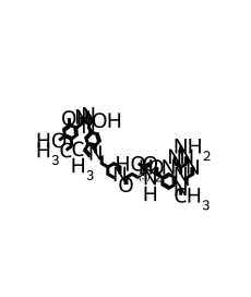 CC(C)c1cc(-c2nnc(O)n2-c2ccc3c(ccn3CCC3CCN(C(=O)CC[C@H](NC(=O)c4ccc(N(C)Cc5cnc6nc(N)nc(N)c6n5)cc4)C(=O)O)CC3)c2)c(O)cc1O